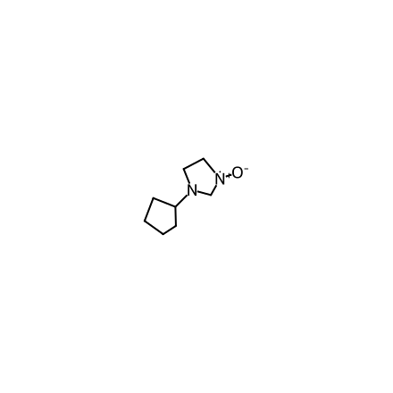 [O-][N+]1CCN(C2CCCC2)C1